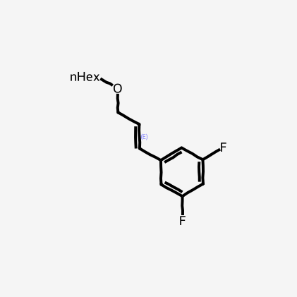 [CH2]CCCCCOC/C=C/c1cc(F)cc(F)c1